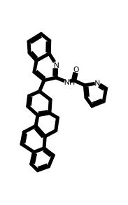 O=C(Nc1nc2ccccc2cc1C1C=CC2=C(CCc3c2ccc2ccccc32)C1)c1ccccn1